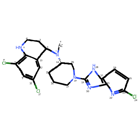 CC(=O)N(C1CCNc2c(Cl)cc(Cl)cc21)[C@H]1CCCN(c2nc3nc(Cl)ccc3[nH]2)C1